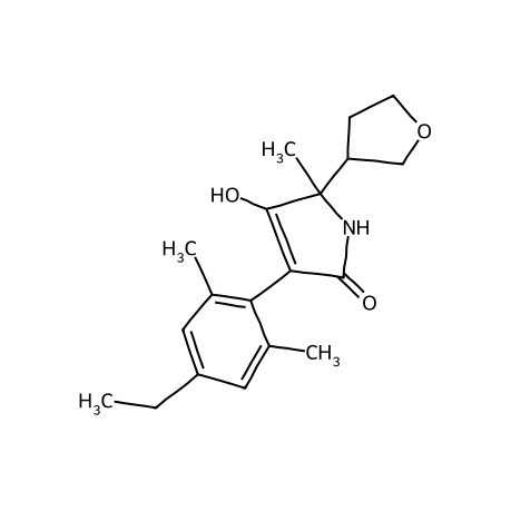 CCc1cc(C)c(C2=C(O)C(C)(C3CCOC3)NC2=O)c(C)c1